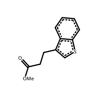 COC(=O)CCc1csc2ccccc12